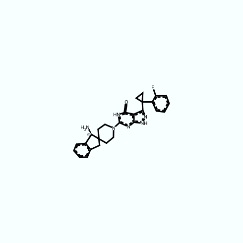 N[C@@H]1c2ccccc2CC12CCN(c1nc3[nH]nc(C4(c5ccccc5F)CC4)c3c(=O)[nH]1)CC2